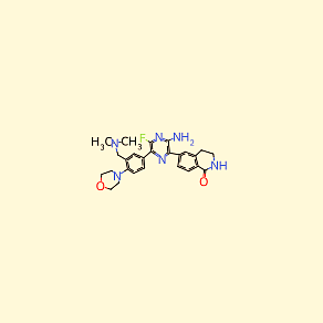 CN(C)Cc1cc(-c2nc(-c3ccc4c(c3)CCNC4=O)c(N)nc2F)ccc1N1CCOCC1